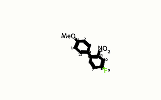 COc1ccc(-c2ccc(F)cc2[N+](=O)[O-])cc1